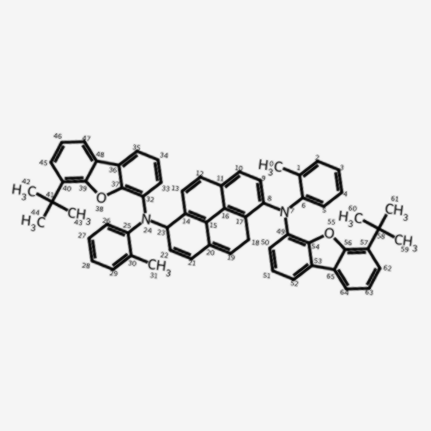 Cc1ccccc1N(c1ccc2ccc3c4c2c1CC=C4C=CC3N(c1ccccc1C)c1cccc2c1oc1c(C(C)(C)C)cccc12)c1cccc2c1oc1c(C(C)(C)C)cccc12